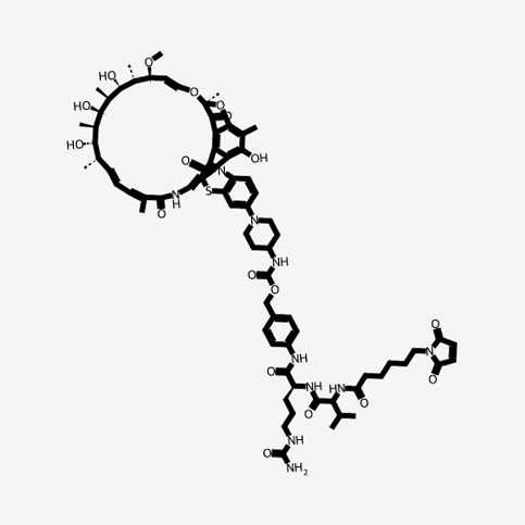 CO[C@H]1/C=C/O[C@@]2(C)Oc3c(C)c(O)c4c(=O)c(c5sc6cc(N7CCC(NC(=O)OCc8ccc(NC(=O)[C@H](CCCNC(N)=O)NC(=O)C(NC(=O)CCCCCN9C(=O)C=CC9=O)C(C)C)cc8)CC7)ccc6nc-5c4c3C2=O)NC(=O)/C(C)=C\C=C\[C@H](C)[C@H](O)[C@@H](C)[C@@H](O)[C@@H](C)[C@H](O)[C@@H]1C